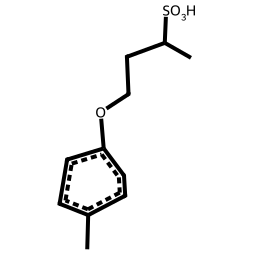 Cc1ccc(OCCC(C)S(=O)(=O)O)cc1